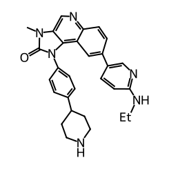 CCNc1ccc(-c2ccc3ncc4c(c3c2)n(-c2ccc(C3CCNCC3)cc2)c(=O)n4C)cn1